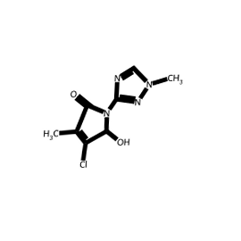 CC1=C(Cl)C(O)N(c2ncn(C)n2)C1=O